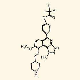 COc1ccc2c(-c3ccc(OC(=O)C(F)(F)F)cc3)nc3[nH]nc(C)c3c2c1OCC1CCNCC1